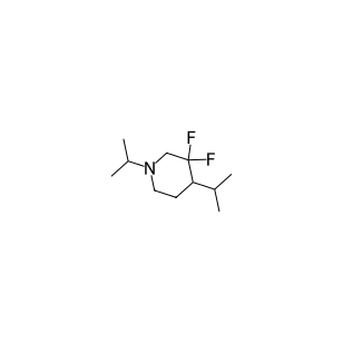 CC(C)C1CCN(C(C)C)CC1(F)F